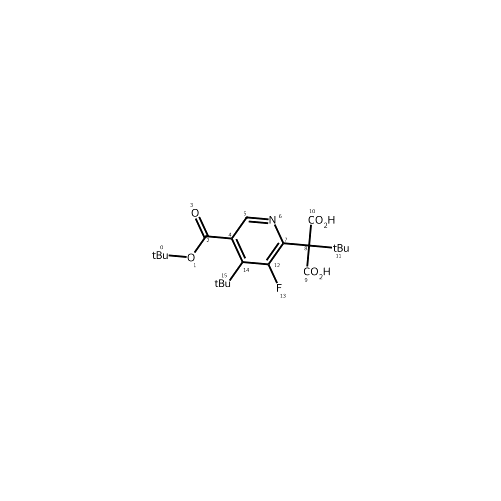 CC(C)(C)OC(=O)c1cnc(C(C(=O)O)(C(=O)O)C(C)(C)C)c(F)c1C(C)(C)C